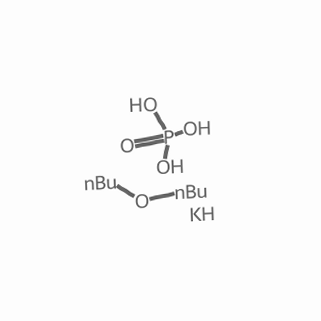 CCCCOCCCC.O=P(O)(O)O.[KH]